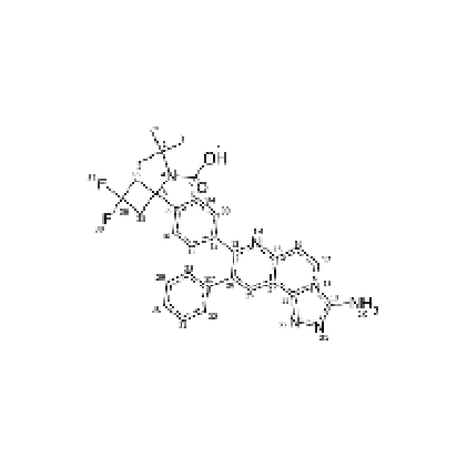 CC(C)(C)N(C(=O)O)C1(c2ccc(-c3nc4ccn5c(N)nnc5c4cc3-c3ccccc3)cc2)CC(F)(F)C1